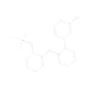 CC(C)(C)Oc1ccccc1Oc1ccccc1-c1cccc([O])c1